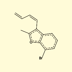 C=C/C=C\c1c(C)oc2c(Br)cccc12